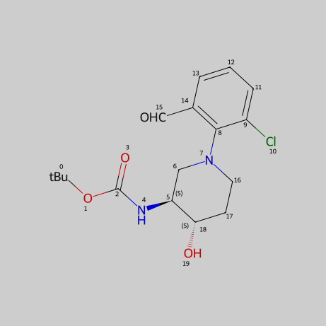 CC(C)(C)OC(=O)N[C@H]1CN(c2c(Cl)cccc2C=O)CC[C@@H]1O